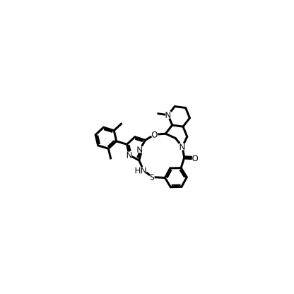 Cc1cccc(C)c1-c1cc2nc(n1)NSc1cccc(c1)C(=O)N1CC3CCCN(C)C3C(C1)O2